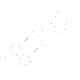 CCCCCC[C@H]1CC[C@H](C2CCC(C#Cc3ccc(C(F)(F)F)cc3)CC2)CC1.CCCCC[C@H]1CC[C@H](C2CCC(C#Cc3ccc(C(F)(F)F)cc3)CC2)CC1